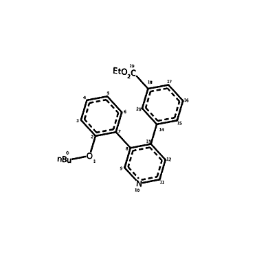 CCCCOc1ccccc1-c1cnccc1-c1cccc(C(=O)OCC)c1